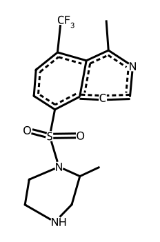 Cc1nccc2c(S(=O)(=O)N3CCNCC3C)ccc(C(F)(F)F)c12